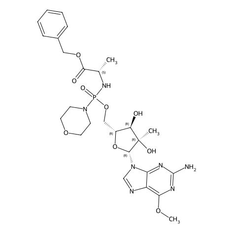 COc1nc(N)nc2c1ncn2[C@@H]1O[C@H](COP(=O)(N[C@@H](C)C(=O)OCc2ccccc2)N2CCOCC2)[C@@H](O)[C@@]1(C)O